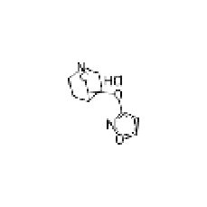 Cl.c1cc(OC2CN3CCC2CC3)no1